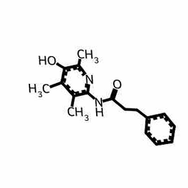 Cc1nc(NC(=O)CCc2ccccc2)c(C)c(C)c1O